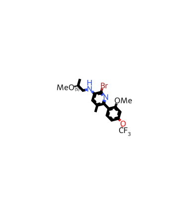 COc1cc(OC(F)(F)F)ccc1-c1nc(Br)c(NC[C@H](C)OC)cc1C